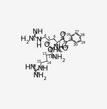 N=C(N)NCCC[C@H](NC(=O)[C@@H](N)CCCNC(=N)N)C(=O)C(O[C]=O)c1ccccc1